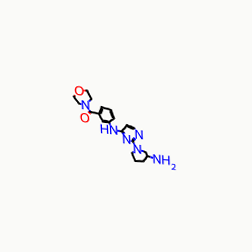 NC1CCCN(c2nccc(Nc3cccc(C(=O)N4CCOCC4)c3)n2)C1